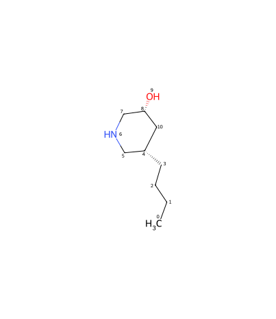 CCCC[C@@H]1CNC[C@H](O)C1